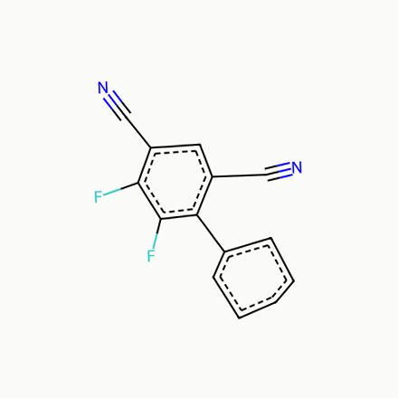 N#Cc1cc(C#N)c(-c2ccccc2)c(F)c1F